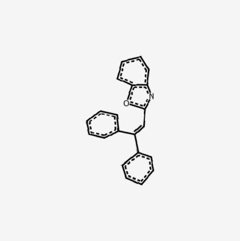 C(=C(c1ccccc1)c1ccccc1)c1nc2ccccc2o1